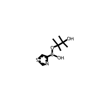 CC(C)(O)C(C)(C)OB(O)c1cscn1